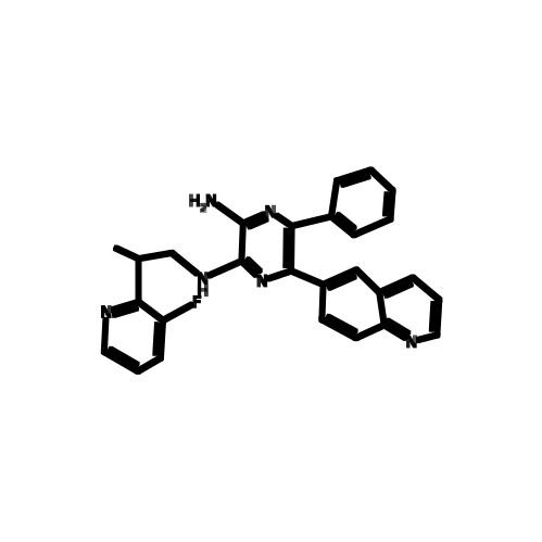 CC(CNc1nc(-c2ccc3ncccc3c2)c(-c2ccccc2)nc1N)c1ncccc1F